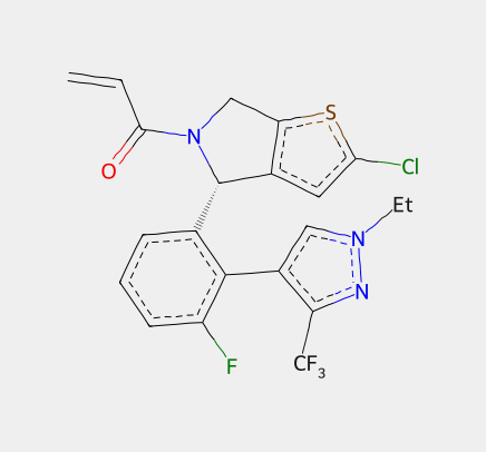 C=CC(=O)N1Cc2sc(Cl)cc2[C@@H]1c1cccc(F)c1-c1cn(CC)nc1C(F)(F)F